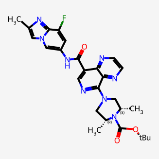 Cc1cn2cc(NC(=O)c3cnc(N4C[C@@H](C)N(C(=O)OC(C)(C)C)[C@@H](C)C4)c4nccnc34)cc(F)c2n1